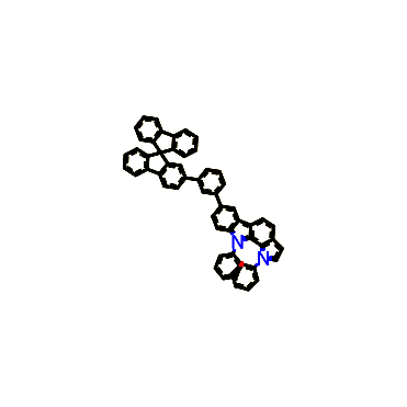 c1ccc(-n2ccc3ccc4c5cc(-c6cccc(-c7ccc8c(c7)C7(c9ccccc9-c9ccccc97)c7ccccc7-8)c6)ccc5n(-c5ccccc5)c4c32)cc1